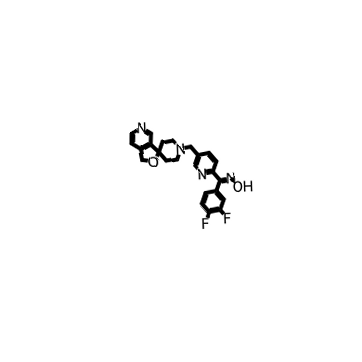 O/N=C(\c1ccc(F)c(F)c1)c1ccc(CN2CCC3(CC2)OCc2ccncc23)cn1